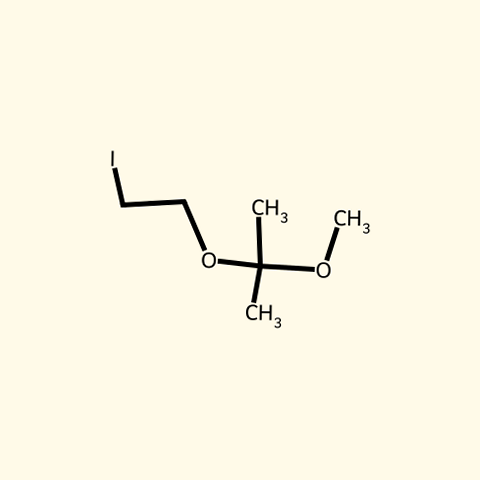 COC(C)(C)OCCI